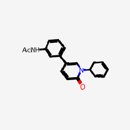 CC(=O)Nc1cccc(-c2ccc(=O)n(C3C=CC=CC3)c2)c1